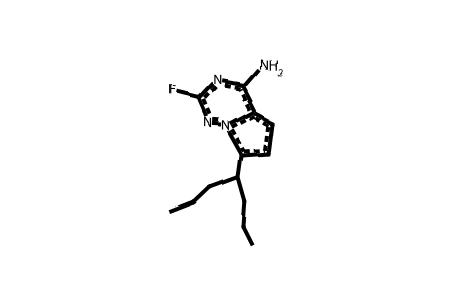 CCCC(CCC)c1ccc2c(N)nc(F)nn12